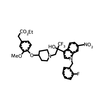 CCOC(=O)Cc1ccc(OC2CCN(CC(O)(c3cn(Cc4ccccc4F)c4cc([N+](=O)[O-])ccc34)C(F)(F)F)CC2)c(OC)c1